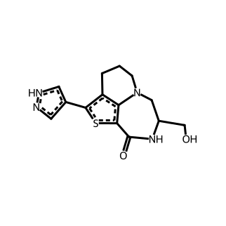 O=C1NC(CO)CN2CCCc3c(-c4cn[nH]c4)sc1c32